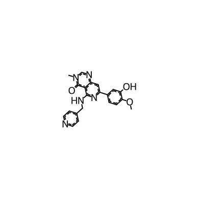 COc1ccc(-c2cc3ncn(C)c(=O)c3c(NCc3ccncc3)n2)cc1O